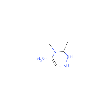 CC1NNC=C(N)N1C